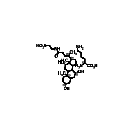 C[C@H](CCC(=O)NCCS(=O)(=O)O)[C@H]1CCC2C3C(C[C@H](O)[C@@]21C)[C@@]1(C)CC[C@@H](O)CC1C[C@H]3O.NCCCC[C@H](N)C(=O)O